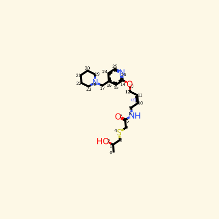 CC(O)CSCC(=O)NC/C=C\COc1cc(CN2CCCCC2)ccn1